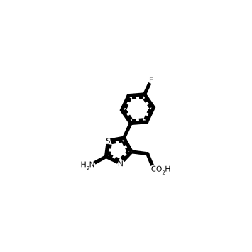 Nc1nc(CC(=O)O)c(-c2ccc(F)cc2)s1